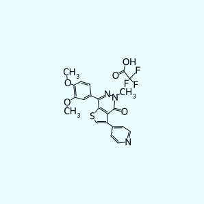 COc1ccc(-c2nn(C)c(=O)c3c(-c4ccncc4)csc23)cc1OC.O=C(O)C(F)(F)F